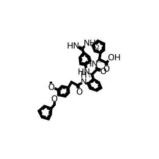 COc1cc(CC(=O)Nc2ccccc2[C@H](Nc2ccc(C(=N)N)cc2)C(=O)N[C@H](C(=O)O)c2ccccc2)ccc1OCc1ccccc1